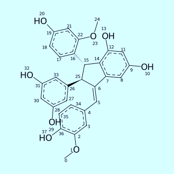 COc1cc(/C=C2/c3cc(O)cc(O)c3[C@@H](c3ccc(O)cc3OC)[C@@H]2c2cc(O)cc(O)c2)ccc1O